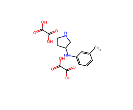 Cc1cccc(NC2CCNC2)c1.O=C(O)C(=O)O.O=C(O)C(=O)O